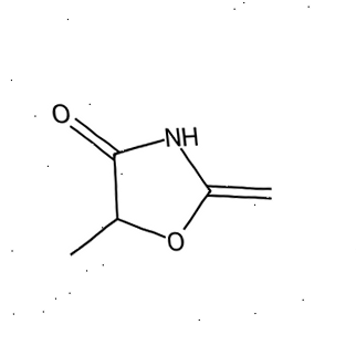 C=C1NC(=O)C(C)O1